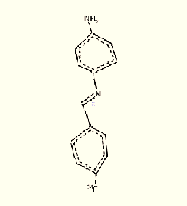 Nc1ccc(/N=C/c2ccc([18F])cc2)cc1